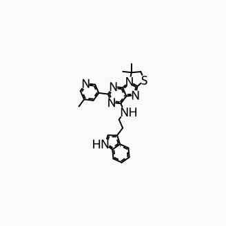 Cc1cncc(-c2nc(NCCc3c[nH]c4ccccc34)c3nc4n(c3n2)C(C)(C)CS4)c1